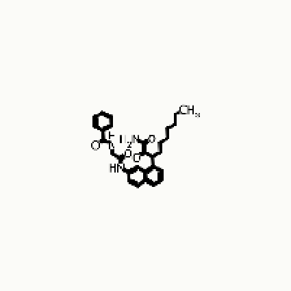 CCCCCCCC(C(=O)C(N)=O)c1cccc2ccc(NC(=O)CNC(=O)c3ccccc3)cc12